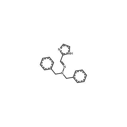 C(=NN(Cc1ccccc1)Cc1ccccc1)c1ncc[nH]1